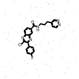 O=C(NCCCc1ccnnc1)c1ccc2nc(Cl)c(-c3ccc(F)cc3)nc2c1